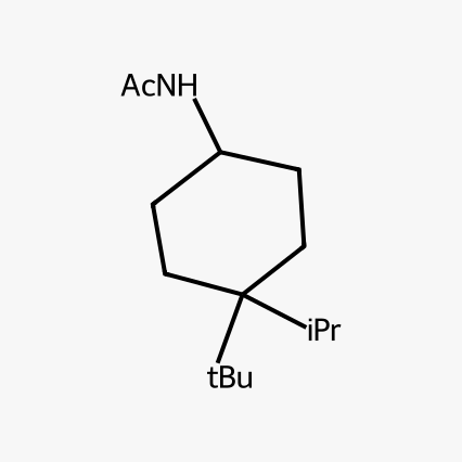 CC(=O)NC1CCC(C(C)C)(C(C)(C)C)CC1